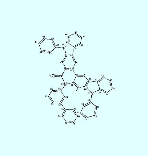 O=c1c2cc3c(cc2c2cc4c5ccccc5n(-c5ccccc5)c4cc2n1-c1cccc(-c2ccccc2)c1)c1ccccc1n3-c1ccccc1